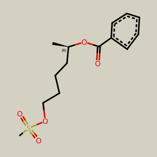 C[C@H](CCCCOS(C)(=O)=O)OC(=O)c1ccccc1